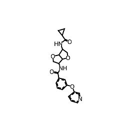 O=C(NC1COC2C(NC(=O)C3CC3)COC12)c1cccc(Oc2cccnc2)c1